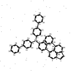 C1=Cc2ccc(-c3ccc(N(c4ccc(-c5ccccc5)cc4)c4ccc(-c5ccccc5)cc4)cc3)c3c(-c4ccccc4)ccc1c23